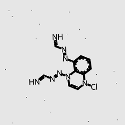 N=CN=Nc1cccc2c1N(N=NC=N)C=CN2Cl